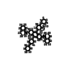 CC1(C)c2ccccc2-c2ccc(-c3c4ccc(N5CCCc6ccccc65)cc4c(-c4ccc(-c5ccccc5)cc4)c4ccc(N5CCCc6ccccc65)cc34)cc21